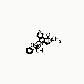 CN(c1ccccc1)S(=O)(=O)Cc1nc2ccn(C)c(=O)c2c2cnccc12